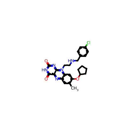 Cc1cc2nc3c(=O)[nH]c(=O)nc-3n(CCNCc3ccc(Cl)cc3)c2cc1OC1CCCC1